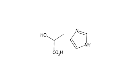 CC(O)C(=O)O.c1c[nH]cn1